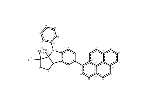 CC1(C)CCC2c3cc(-c4ccc5ccc6cccc7ccc4c5c67)ccc3N(c3ccccc3)C21C